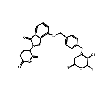 [2H]C1CN(Cc2ccc(COc3cccc4c3CN(C3CCC(=O)NC3=O)C4=O)cc2)C([2H])C([2H])O1